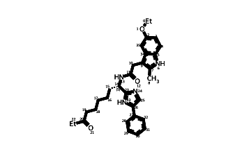 CCOc1ccc2[nH]c(C)c(CC(=O)N[C@@H](CCCCCC(=O)CC)c3ncc(-c4ccccc4)[nH]3)c2c1